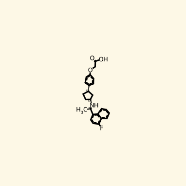 C[C@@H](N[C@H]1CC[C@@H](c2ccc(OCC(=O)O)cc2)C1)c1ccc(F)c2ccccc12